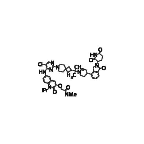 CNC(=O)COc1cc2cc(Nc3nc(N4CCC5(CC4)CC(C(C)(C)N4CCC(c6cccc7c6CN(C6CCC(=O)NC6=O)C7=O)CC4)C5)ncc3Cl)ccc2n(C(C)C)c1=O